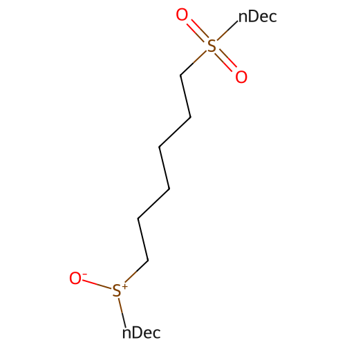 CCCCCCCCCC[S+]([O-])CCCCCCS(=O)(=O)CCCCCCCCCC